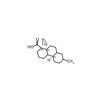 CC1CC[C@@H]2C(CC[C@H]3C2CCC[C@@]3(C)C(=O)O)C1